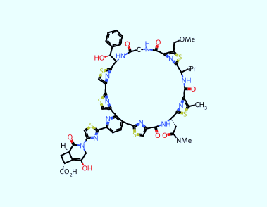 CNC(=O)C[C@@H]1NC(=O)c2csc(n2)-c2ccc(-c3nc(N4CC(O)=C5[C@H](C(=O)O)C[C@H]5C4=O)cs3)nc2-c2csc(n2)-c2csc(n2)[C@H]([C@@H](O)c2ccccc2)NC(=O)CNC(=O)c2nc(sc2COC)C(C(C)C)NC(=O)c2nc1sc2C